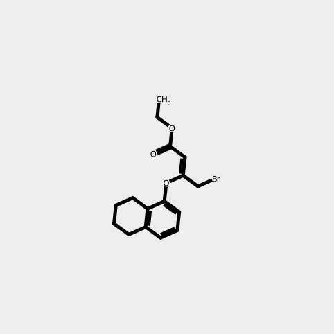 CCOC(=O)/C=C(/CBr)Oc1cccc2c1CCCC2